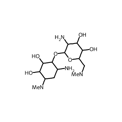 CNCC1OC(OC2C(N)CC(NC)C(O)C2O)C(N)C(O)C1O